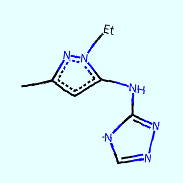 CCn1nc(C)cc1NC1=NN=C[N]1